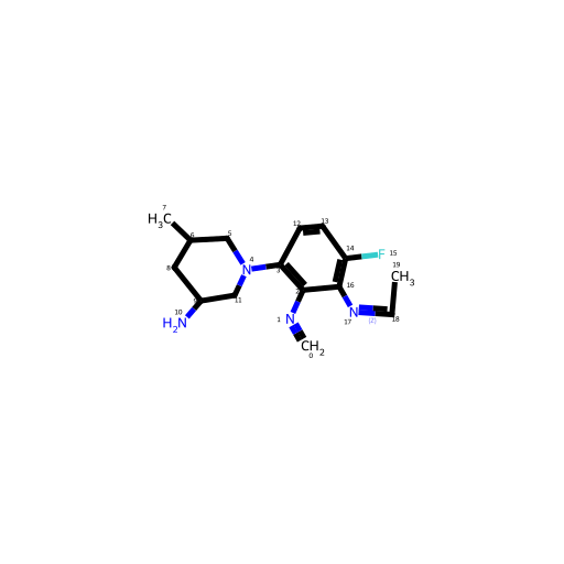 C=Nc1c(N2CC(C)CC(N)C2)ccc(F)c1/N=C\C